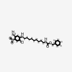 Nc1cc(NCCCCCCCCCNC(=O)OCc2ccccc2)c(Cl)cc1[N+](=O)[O-]